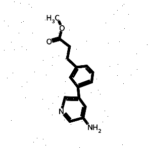 COC(=O)CCc1cccc(-c2cncc(N)c2)c1